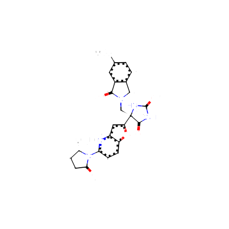 CCOC(=O)[C@H]1CCC(=O)N1c1ccc2oc([C@]3(CN4Cc5ccc(OC)cc5C4=O)NC(=O)NC3=O)cc2n1